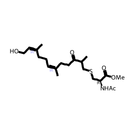 COC(=O)[C@H](CSCC(C)C(=O)CC/C(C)=C\CC/C(C)=C\CO)NC(C)=O